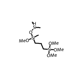 CO[Si](C)(CCC[Si](OC)(OC)OC)O[SiH](C)C